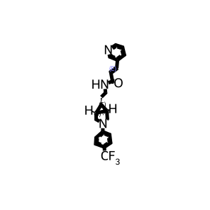 O=C(/C=C/c1cccnc1)NCC[C@@H]1[C@H]2CN(c3ccc(C(F)(F)F)cc3)C[C@@H]12